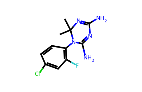 CC1(C)N=C(N)N=C(N)N1c1ccc(Cl)cc1F